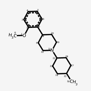 COc1ccccc1C1CCN(C2CCC(C)CC2)CC1